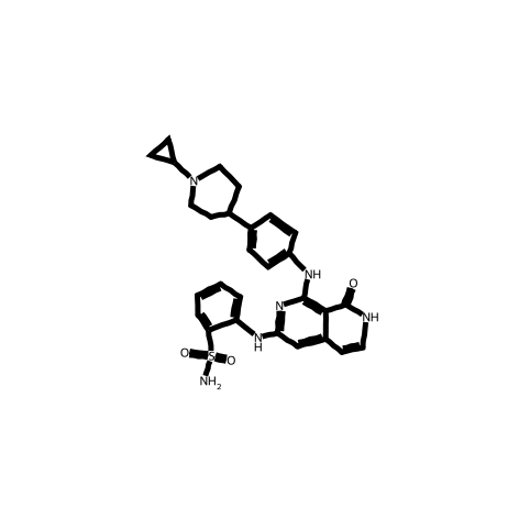 NS(=O)(=O)c1ccccc1Nc1cc2cc[nH]c(=O)c2c(Nc2ccc(C3CCN(C4CC4)CC3)cc2)n1